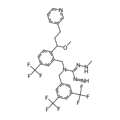 CN/N=C(\N=N)N(Cc1cc(C(F)(F)F)cc(C(F)(F)F)c1)Cc1cc(C(F)(F)F)ccc1C(CCc1cccnc1)OC